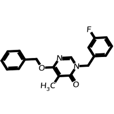 Cc1c(OCc2ccccc2)ncn(Cc2cccc(F)c2)c1=O